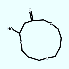 O=C1CCCCCCCCCCCC(O)C1